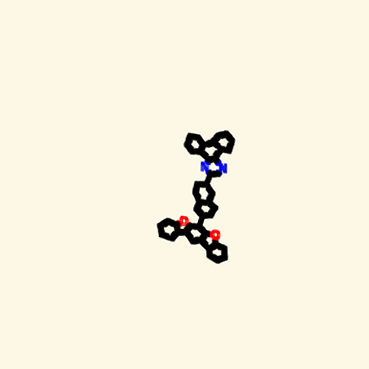 c1ccc2c(c1)oc1c(-c3ccc4cc(-c5cnc6c7ccccc7c7ccccc7c6n5)ccc4c3)c3oc4ccccc4c3cc12